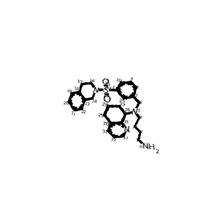 NCCCCN(Cc1cccc(S(=O)(=O)N2CCc3ccccc3C2)c1)C1CCCc2cccnc21